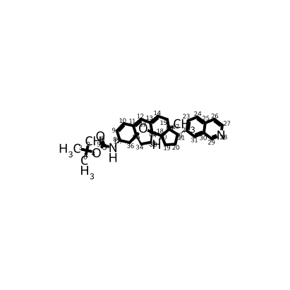 CC(C)(C)OC(=O)N[C@@H]1C=CC2=CC3=CC[C@@]4(C)[C@@H](CC[C@H]4c4ccc5ccncc5c4)[C@@]34CC[C@]2(C1)O4